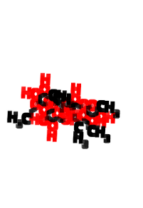 CCCCOC1C(O)[C@@H](O)[C@H](C)O[C@H]1OC1C(O)[C@@H](O)[C@H](CO)O[C@H]1O[C@@H](C)C(CO)O[C@@H](OCCCC)[C@@H](O)CO[C@@H]1OC(C)[C@@H](O)C(O)[C@@H]1OCCCC